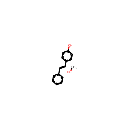 CO.Oc1ccc(C=Cc2ccccc2)cc1